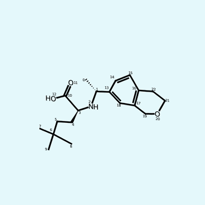 C[C@@H](N[C@@H](CCC(C)(C)C)C(=O)O)c1ccc2c(c1)COCC2